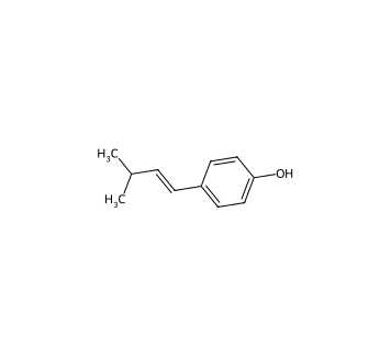 CC(C)C=Cc1ccc(O)cc1